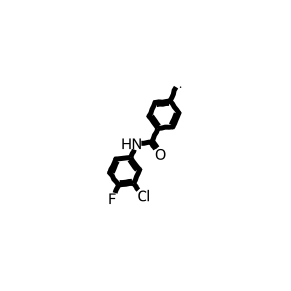 [CH2]c1ccc(C(=O)Nc2ccc(F)c(Cl)c2)cc1